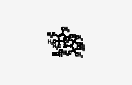 CC1=C(C)C(C)(C)[C]([Zr][N](C(C)(C)C)C(C)(C)C)=C1C.Cl.Cl